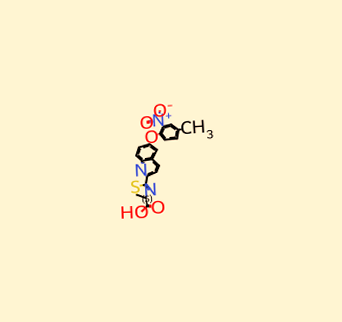 Cc1ccc(Oc2ccc3nc(C4=N[C@@H](C(=O)O)CS4)ccc3c2)c([N+](=O)[O-])c1